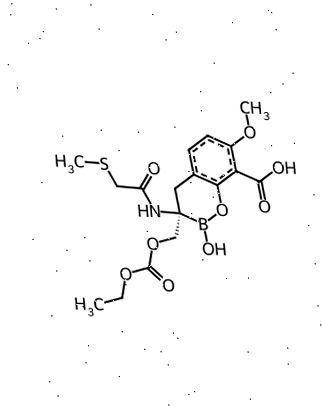 CCOC(=O)OC[C@]1(NC(=O)CSC)Cc2ccc(OC)c(C(=O)O)c2OB1O